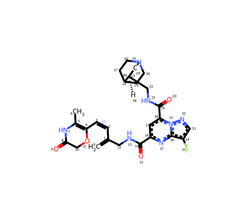 C=C(/C=C\C1=C(C)NC(=O)CO1)CNC(=O)c1cc(C(=O)NC[C@@H]2CN3CCC2CC3)n2ncc(F)c2n1